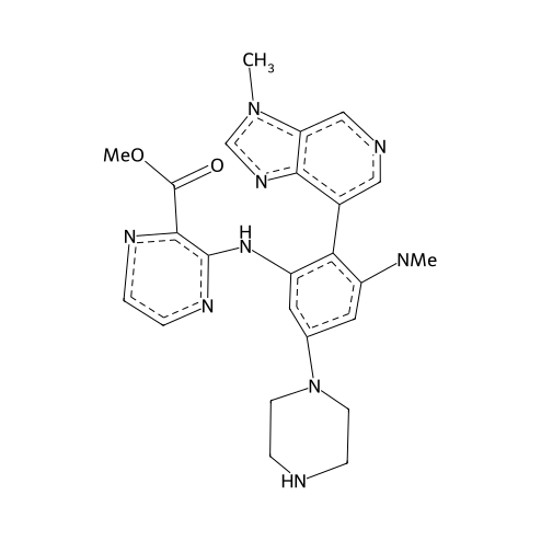 CNc1cc(N2CCNCC2)cc(Nc2nccnc2C(=O)OC)c1-c1cncc2c1ncn2C